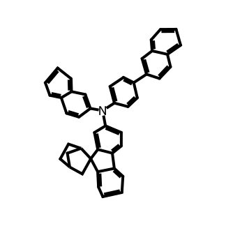 c1ccc2c(c1)-c1ccc(N(c3ccc(-c4ccc5ccccc5c4)cc3)c3ccc4ccccc4c3)cc1C21CC2CCC1C2